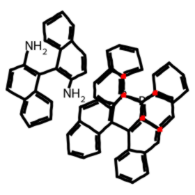 Nc1ccc2ccccc2c1-c1c(N)ccc2ccccc12.c1ccc(P(c2ccccc2)c2ccc3ccccc3c2-c2c(P(c3ccccc3)c3ccccc3)ccc3ccccc23)cc1